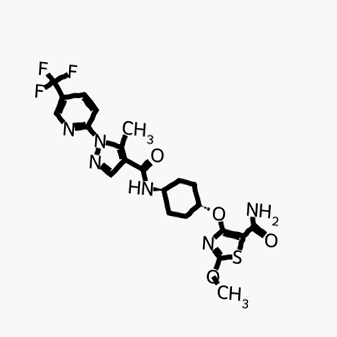 COc1nc(O[C@H]2CC[C@H](NC(=O)c3cnn(-c4ccc(C(F)(F)F)cn4)c3C)CC2)c(C(N)=O)s1